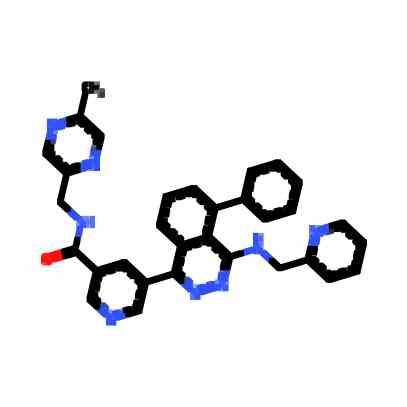 Cc1cnc(CNC(=O)c2cncc(-c3nnc(NCc4ccccn4)c4c(-c5ccccc5)cccc34)c2)cn1